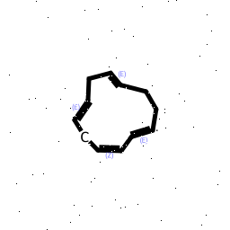 [C]1=C/C=C\C/C=C/C/C=C/CC/1